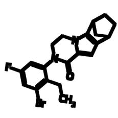 CCc1c(Br)cc(F)cc1N1CCn2c(cc3c2C2CCC3C2)C1=O